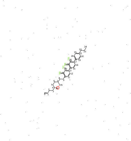 C=CCCC1CCC(CCc2ccc(-c3ccc(-c4ccc(CCC)cc4)c(F)c3F)c(F)c2F)CO1